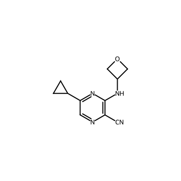 N#Cc1ncc(C2CC2)nc1NC1COC1